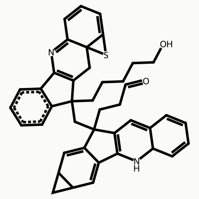 O=CCCC1(CC2(CCCCCO)C3=C(N=C4C=CC=C5SC54C3)c3ccccc32)C2=CC3CC3C=C2C2=C1C=C1C=CC=CC1N2